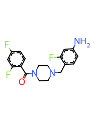 Nc1ccc(CN2CCN(C(=O)c3ccc(F)cc3F)CC2)c(F)c1